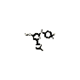 COc1cc(NC2CCC(F)(F)CC2)nc(-c2nc(C)cs2)c1